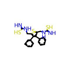 N=C(S)NCc1sc(CNC(=N)S)c(-c2ccccc2)c1-c1ccccc1